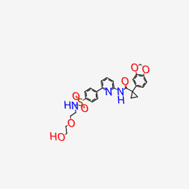 O=C(Nc1cccc(-c2ccc(S(=O)(=O)NCCOCCO)cc2)n1)C1(c2ccc3c(c2)OCO3)CC1